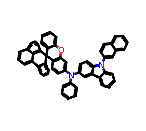 c1ccc(N(c2ccc3c(c2)Oc2ccccc2C32c3ccccc3-c3cccc4cccc2c34)c2ccc3c(c2)c2ccccc2n3-c2ccc3ccccc3c2)cc1